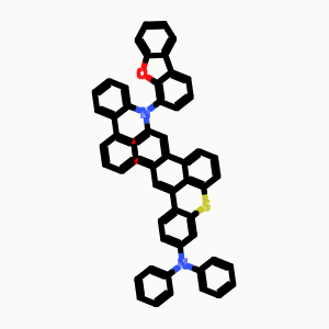 c1ccc(-c2ccccc2N(c2ccc3cc4c5c(cccc5c3c2)Sc2cc(N(c3ccccc3)c3ccccc3)ccc2-4)c2cccc3c2oc2ccccc23)cc1